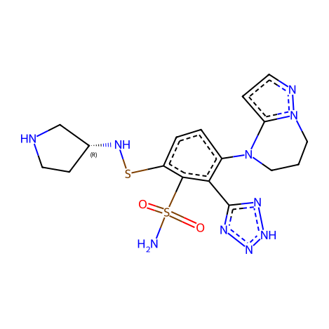 NS(=O)(=O)c1c(SN[C@@H]2CCNC2)ccc(N2CCCn3nccc32)c1-c1nn[nH]n1